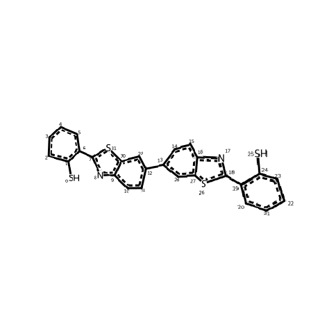 Sc1ccccc1-c1nc2ccc(-c3ccc4nc(-c5ccccc5S)sc4c3)cc2s1